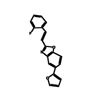 Fc1ccccc1C=Cc1nc2cc(-c3ccco3)ccc2o1